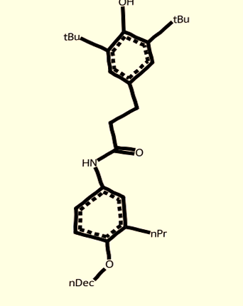 CCCCCCCCCCOc1ccc(NC(=O)CCc2cc(C(C)(C)C)c(O)c(C(C)(C)C)c2)cc1CCC